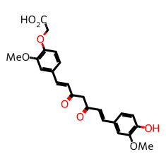 COc1cc(/C=C/C(=O)CC(=O)/C=C/c2ccc(OCC(=O)O)c(OC)c2)ccc1O